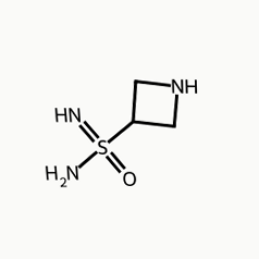 N=S(N)(=O)C1CNC1